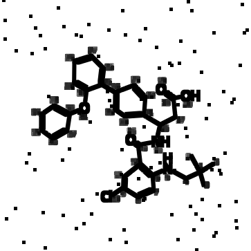 CC(C)(C)CNc1ccc(Cl)cc1C(=O)NC(CC(=O)O)c1ccc(-c2ccccc2Oc2ccccc2)cc1